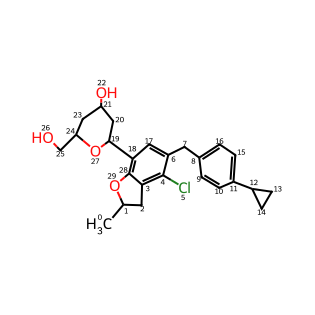 CC1Cc2c(Cl)c(Cc3ccc(C4CC4)cc3)cc(C3CC(O)CC(CO)O3)c2O1